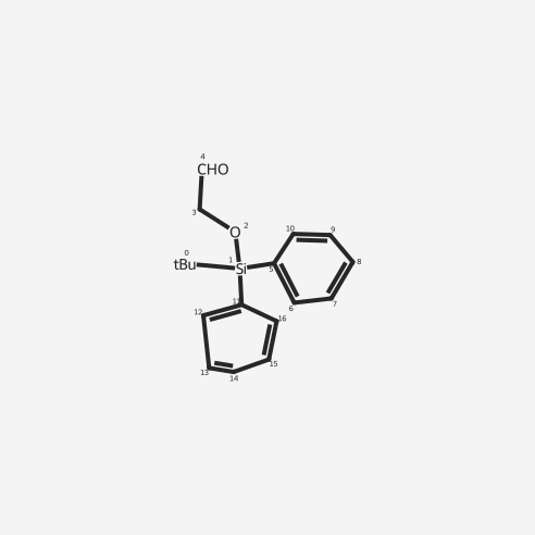 CC(C)(C)[Si](OCC=O)(c1ccccc1)c1ccccc1